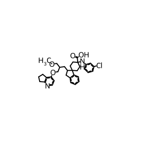 COCC(COc1ccnc2c1CCC2)CC1Cc2ccccc2C12CCC(Nc1cccc(Cl)c1)(C(=O)O)CC2